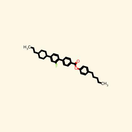 CCCCCc1ccc(OC(=O)c2ccc(-c3ccc(C4CCC(CCC)CC4)cc3F)cc2)cc1